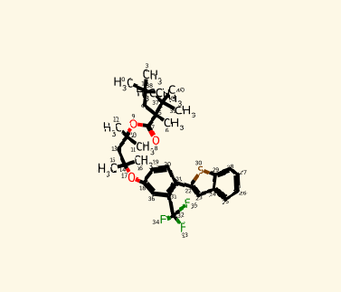 CC(C)(C)CC(C)(C(=O)OC(C)(C)CC(C)(C)Oc1ccc(-c2cc3ccccc3s2)c(C(F)(F)F)c1)C(C)(C)C